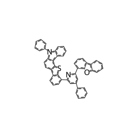 c1ccc(-c2cc(-c3cccc4c3oc3ccccc34)nc(-c3cccc4c3sc3c4ccc4c3c3ccccc3n4-c3ccccc3)c2)cc1